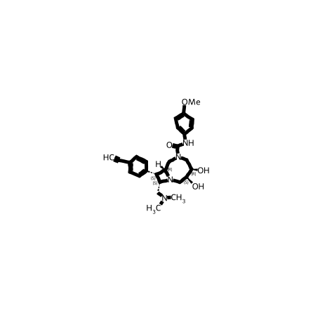 C#Cc1ccc([C@H]2[C@@H](CN(C)C)N3C[C@H](O)[C@H](O)CN(C(=O)Nc4ccc(OC)cc4)C[C@@H]23)cc1